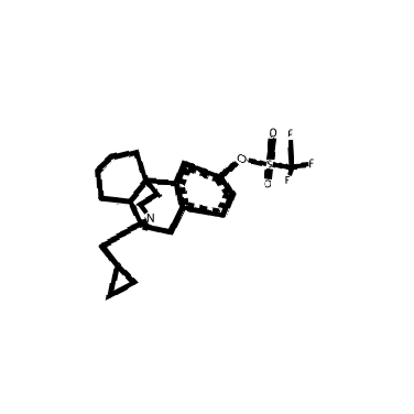 O=S(=O)(Oc1ccc2c(c1)C13CCCCC1C(C2)N(CC1CC1)CC3)C(F)(F)F